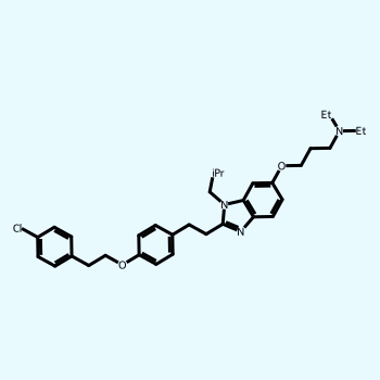 CCN(CC)CCCOc1ccc2nc(CCc3ccc(OCCc4ccc(Cl)cc4)cc3)n(CC(C)C)c2c1